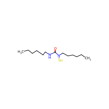 CCCCCCNC(=O)N(S)CCCCCC